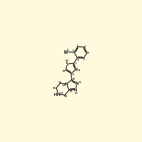 Brc1ccccc1-c1nc(-c2nnc3n2CCNC3)cs1